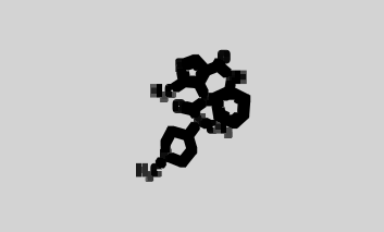 Cc1scc2c1N(C(=O)N(C)C1CCN(C)CC1)c1ccccc1NC2=O